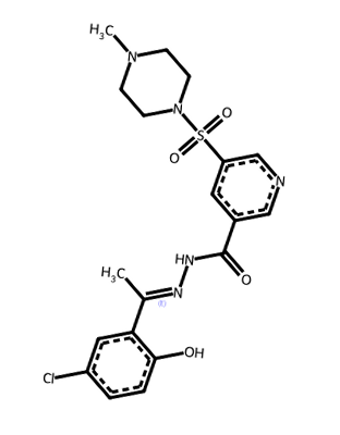 C/C(=N\NC(=O)c1cncc(S(=O)(=O)N2CCN(C)CC2)c1)c1cc(Cl)ccc1O